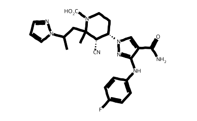 CC(CC1(C)[C@@H](C#N)[C@@H](n2cc(C(N)=O)c(Nc3ccc(F)cc3)n2)CCN1C(=O)O)n1cccn1